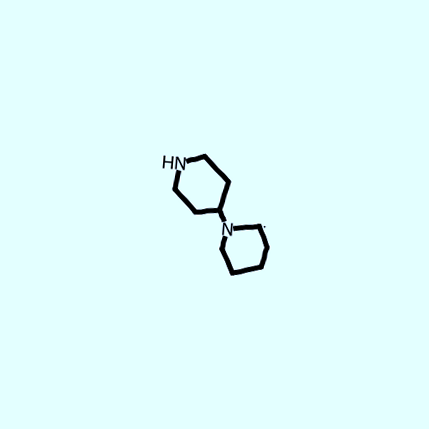 [CH]1CCCCN1C1CCNCC1